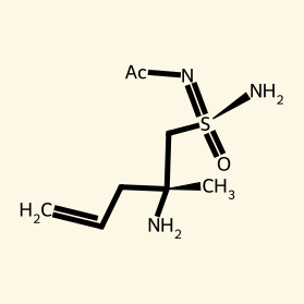 C=CC[C@@](C)(N)C[S@@](N)(=O)=NC(C)=O